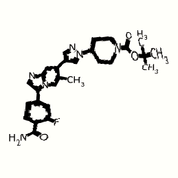 Cc1cn2c(-c3ccc(C(N)=O)c(F)c3)cnc2cc1-c1cnn(C2CCN(C(=O)OC(C)(C)C)CC2)c1